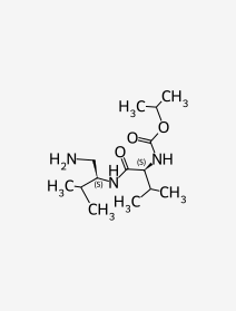 CC(C)OC(=O)N[C@H](C(=O)N[C@H](CN)C(C)C)C(C)C